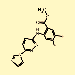 COC(=O)c1cc(F)c(F)cc1Nc1ccc(-n2ccnc2)nn1